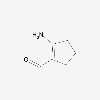 NC1=C(C=O)CCC1